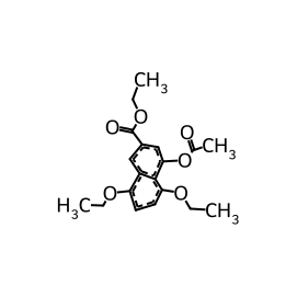 CCOC(=O)c1cc(OC(C)=O)c2c(OCC)ccc(OCC)c2c1